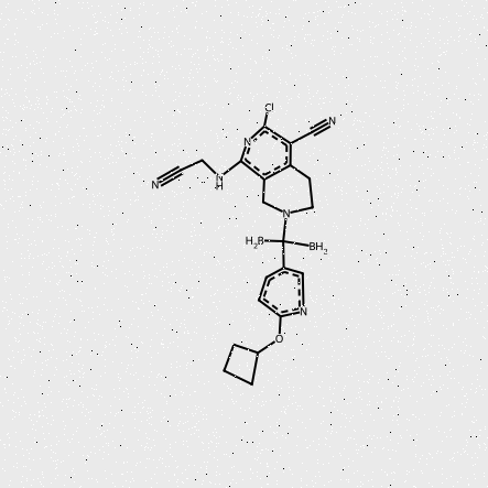 BC(B)(c1ccc(OC2CCC2)nc1)N1CCc2c(C#N)c(Cl)nc(NCC#N)c2C1